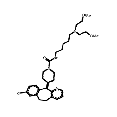 COCCN(CCCCCNC(=O)N1CCC(=C2c3ccc(Cl)cc3CCc3cccnc32)CC1)CCOC